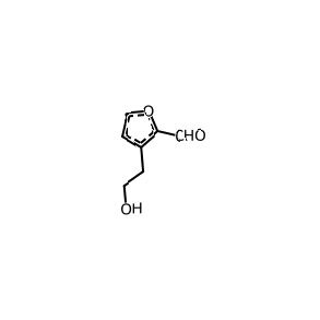 O=Cc1occc1CCO